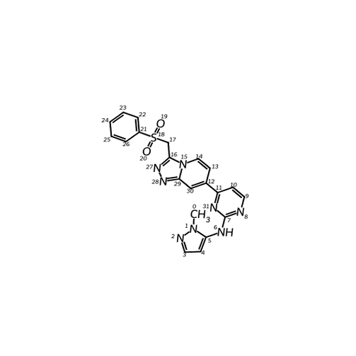 Cn1nccc1Nc1nccc(-c2ccn3c(CS(=O)(=O)c4ccccc4)nnc3c2)n1